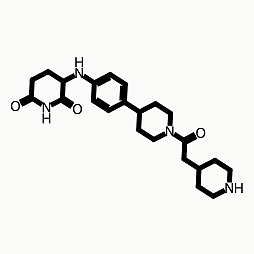 O=C1CCC(Nc2ccc(C3CCN(C(=O)CC4CCNCC4)CC3)cc2)C(=O)N1